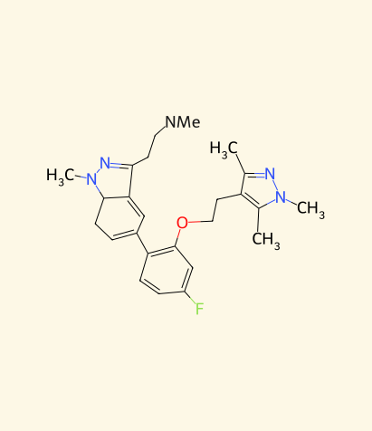 CNCCC1=NN(C)C2CC=C(c3ccc(F)cc3OCCc3c(C)nn(C)c3C)C=C12